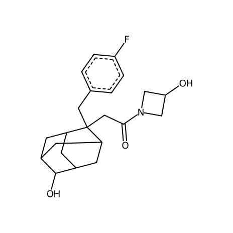 O=C(CC1(Cc2ccc(F)cc2)C2CC3CC1CC(C2)C3O)N1CC(O)C1